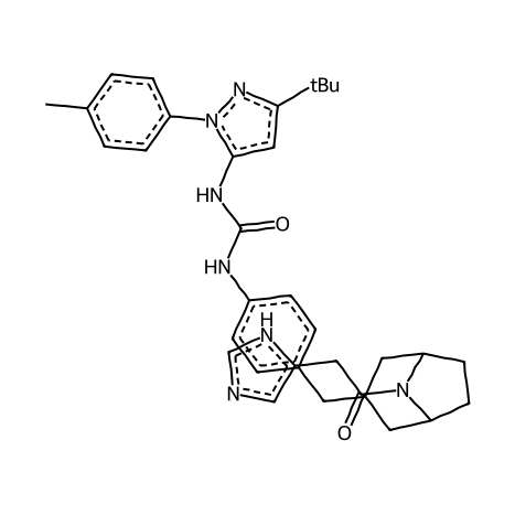 Cc1ccc(-n2nc(C(C)(C)C)cc2NC(=O)Nc2ccc(CC3CC4CCC(C3)N4C(=O)Cc3cnc[nH]3)cc2)cc1